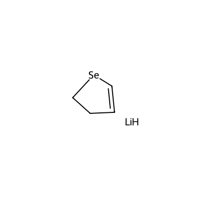 C1=C[Se]CC1.[LiH]